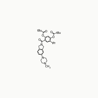 CC(C)c1cc(C(=O)N2Cc3ccc(N4CCN(C)CC4)cc3C2)c(OC(=O)C(C)(C)C)cc1OC(=O)C(C)(C)C